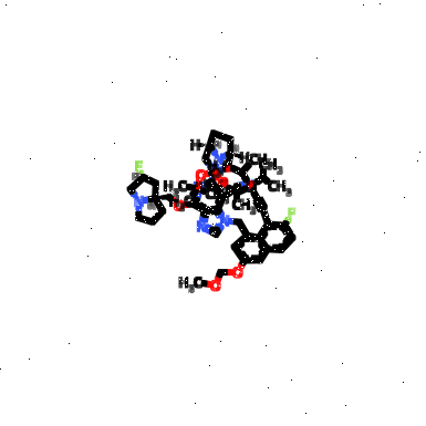 COCOc1cc(Cn2cnc3c(OC[C@@]45CCCN4C[C@H](F)C5)nc(N4C[C@H]5CC[C@@H](C4)N5C(=O)OC(C)(C)C)c(C#N)c32)c2c(C#C[Si](C(C)C)(C(C)C)C(C)C)c(F)ccc2c1